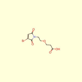 O=C(O)CCOCCN1C(=O)C=C(Br)C1=O